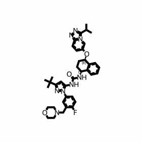 CC(C)c1nnc2ccc(O[C@@H]3CC[C@H](NC(=O)Nc4cc(C(C)(C)C)nn4-c4ccc(F)c(CN5CCOCC5)c4)c4ccccc43)cn12